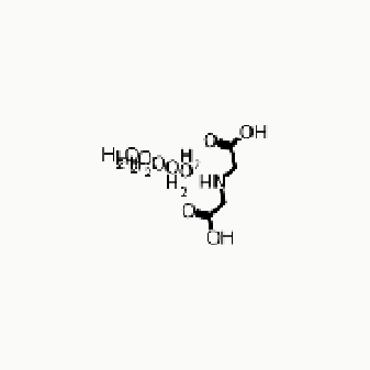 O.O.O.O.O.O=C(O)CNCC(=O)O